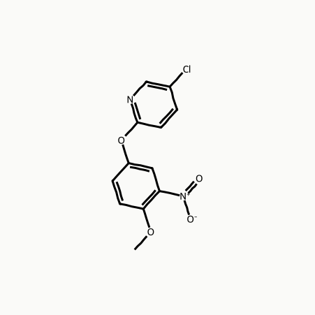 COc1ccc(Oc2ccc(Cl)cn2)cc1[N+](=O)[O-]